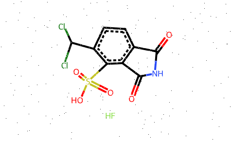 F.O=C1NC(=O)c2c1ccc(C(Cl)Cl)c2S(=O)(=O)O